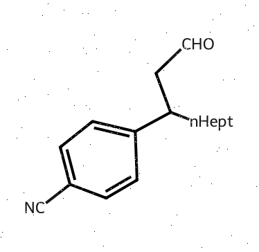 CCCCCCCC(CC=O)c1ccc(C#N)cc1